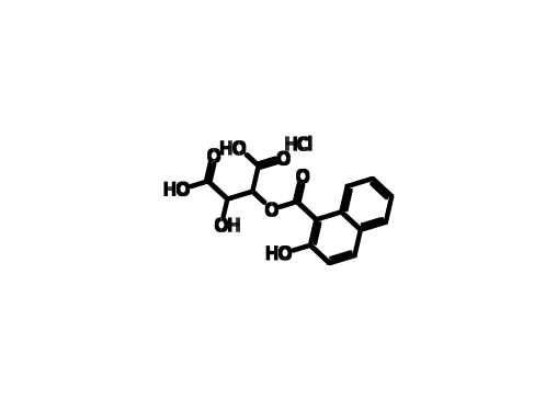 Cl.O=C(OC(C(=O)O)C(O)C(=O)O)c1c(O)ccc2ccccc12